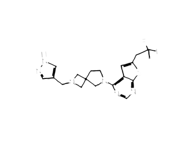 FC(F)(F)Cc1cc2c(N3CCC4(CN(Cc5cn[nH]c5)C4)C3)ncnc2s1